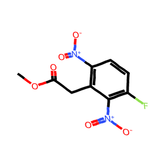 COC(=O)Cc1c([N+](=O)[O-])ccc(F)c1[N+](=O)[O-]